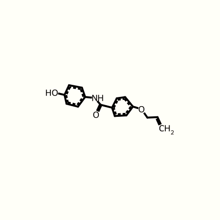 C=CCOc1ccc(C(=O)Nc2ccc(O)cc2)cc1